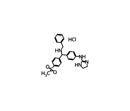 CS(=O)(=O)c1ccc(C(NCc2ccccc2)c2ccc(NC3=NCCN3)cc2)cc1.Cl